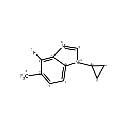 Fc1c(C(F)(F)F)ccc2c1n[c]n2C1CC1